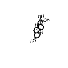 C[C@]12CC[C@H]3[C@@H](CC=C4C[C@H](O)CC[C@@]43C)[C@@H]1C[C@@H](O)[C@@H]2O